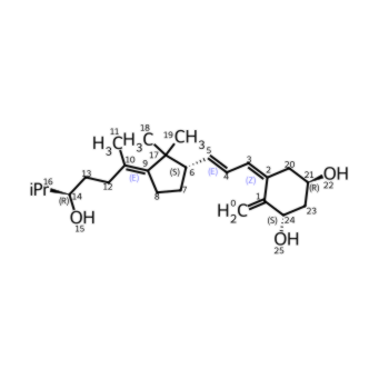 C=C1/C(=C\C=C\[C@@H]2CC/C(=C(/C)CC[C@@H](O)C(C)C)C2(C)C)C[C@@H](O)C[C@@H]1O